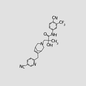 CC(O)(CN1CC2C=C(Cc3ccc(C#N)cn3)C(C2)C1)C(=O)Nc1ccc(C#N)c(C(F)(F)F)c1